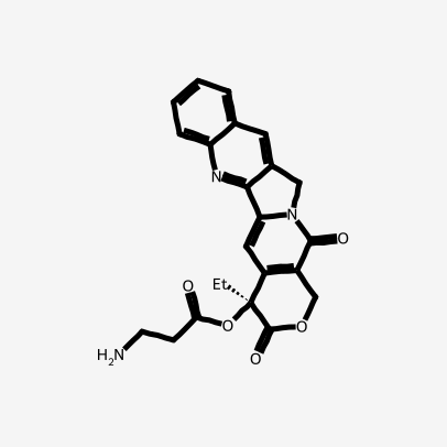 CC[C@@]1(OC(=O)CCN)C(=O)OCc2c1cc1n(c2=O)Cc2cc3ccccc3nc2-1